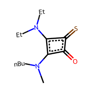 CCCCN(C)c1c(N(CC)CC)c(=S)c1=O